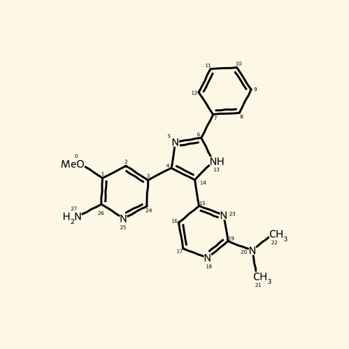 COc1cc(-c2nc(-c3ccccc3)[nH]c2-c2ccnc(N(C)C)n2)cnc1N